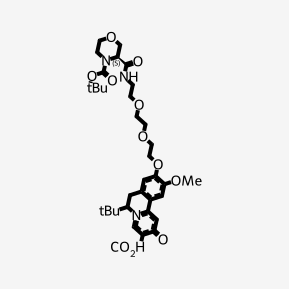 COc1cc2c(cc1OCCOCCOCCNC(=O)[C@@H]1COCCN1C(=O)OC(C)(C)C)CC(C(C)(C)C)n1cc(C(=O)O)c(=O)cc1-2